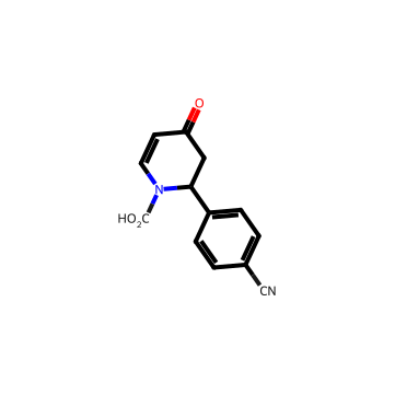 N#Cc1ccc(C2CC(=O)C=CN2C(=O)O)cc1